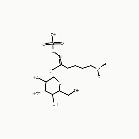 C[S@@+]([O-])CCCC/C(=N/OS(=O)(=O)O)S[C@@H]1OC(CO)C(O)[C@H](O)C1O